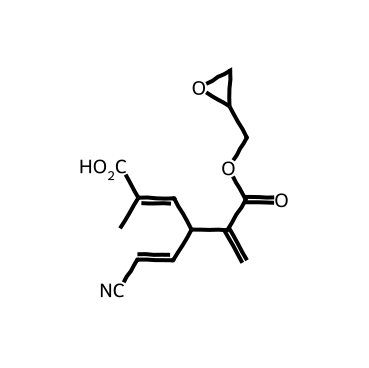 C=C(C(=O)OCC1CO1)C(C=CC#N)C=C(C)C(=O)O